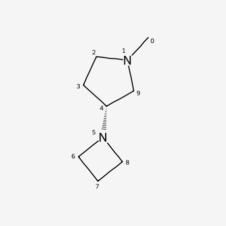 CN1CC[C@@H](N2CCC2)C1